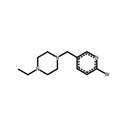 CCN1CCN(Cc2ccc(Br)nc2)CC1